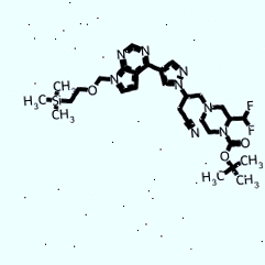 CC(C)(C)OC(=O)N1CCN(CC(CC#N)n2cc(-c3ncnc4c3ccn4COCC[Si](C)(C)C)cn2)CC1C(F)F